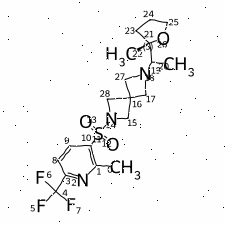 Cc1nc(C(F)(F)F)ccc1S(=O)(=O)N1CC2(CN(C(C)[C@]3(C)CCCO3)C2)C1